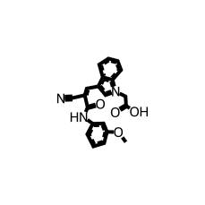 COc1cccc(NC(=O)C(C#N)=Cc2cn(CC(=O)O)c3ccccc23)c1